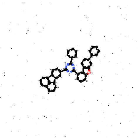 c1ccc(-c2ccc3c(c2)oc2cccc(-c4nc(-c5ccccc5)nc(-c5ccc6c(c5)-c5cccc7cccc-6c57)n4)c23)cc1